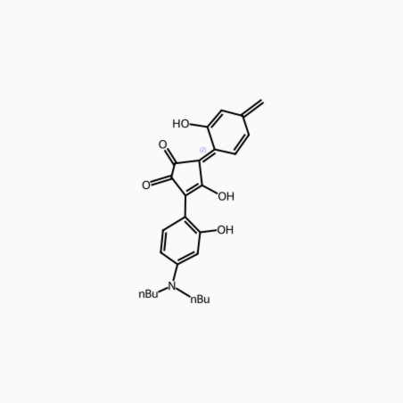 C=c1cc/c(=C2/C(=O)C(=O)C(c3ccc(N(CCCC)CCCC)cc3O)=C2O)c(O)c1